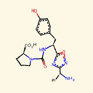 CC(C)[C@H](N)c1noc([C@H](Cc2ccc(O)cc2)NC(=O)N2CCC[C@H]2C(=O)O)n1